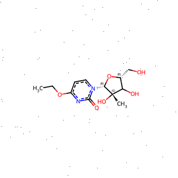 CCOc1ccn([C@@H]2O[C@H](CO)C(O)[C@]2(C)O)c(=O)n1